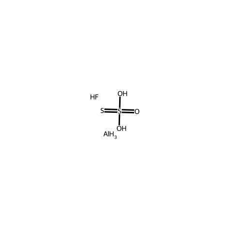 F.O=S(O)(O)=S.[AlH3]